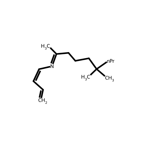 C=C/C=C\N=C(/C)CCCC(C)(C)CCC